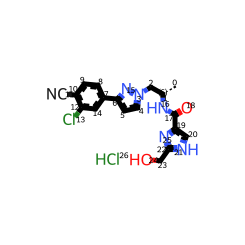 C[C@@H](Cn1ccc(-c2ccc(C#N)c(Cl)c2)n1)NC(=O)c1c[nH]c(CO)n1.Cl